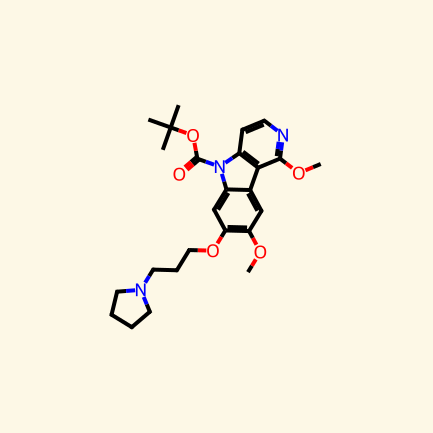 COc1cc2c3c(OC)nccc3n(C(=O)OC(C)(C)C)c2cc1OCCCN1CCCC1